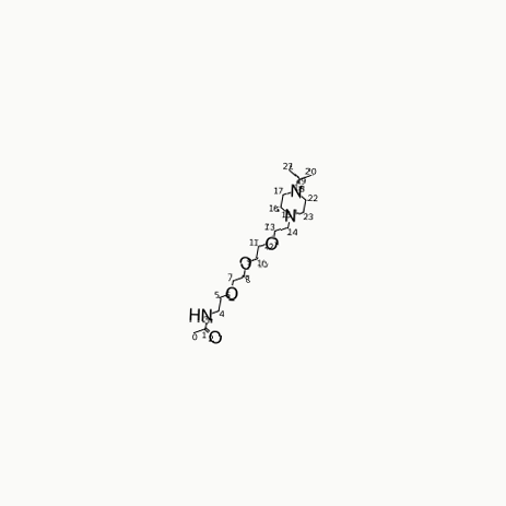 CC(=O)NCCOCCOCCOCCN1CCN(C(C)C)CC1